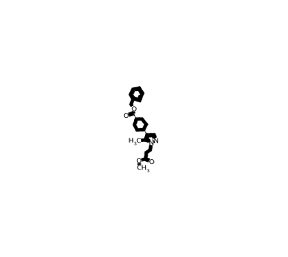 COC(=O)CCn1ncc([C@H]2CC[C@@H](C(=O)OCc3ccccc3)CC2)c1C